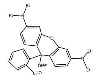 CCN(CC)c1ccc2c(c1)Oc1cc(N(CC)CC)ccc1C2(OC)c1ccccc1C=O